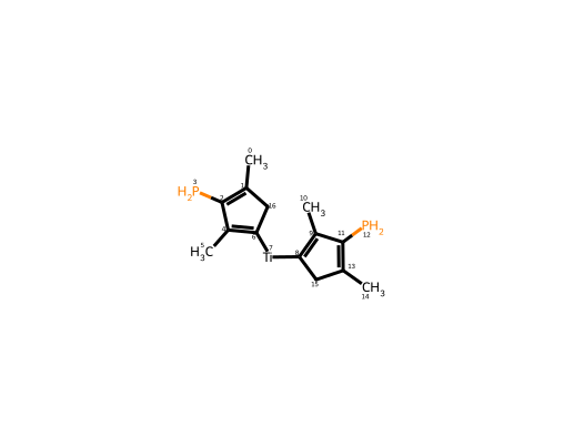 CC1=C(P)C(C)=[C]([Ti][C]2=C(C)C(P)=C(C)C2)C1